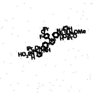 COC(=O)N[C@H](C(=O)N1CCC[C@H]1c1nc2ccc([C@H]3CC[C@H](c4ccc5nc([C@@H]6CCCN6C(=O)[C@@H](NC(=O)O)C(C)C)[nH]c5c4)N3c3ccc(OC(C)C)c(F)c3)cc2[nH]1)C(C)C